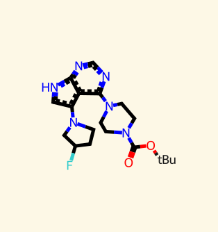 CC(C)(C)OC(=O)N1CCN(c2ncnc3[nH]cc(N4CCC(F)C4)c23)CC1